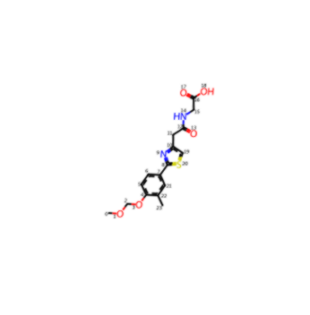 COCOc1ccc(-c2nc(CC(=O)NCC(=O)O)cs2)cc1C